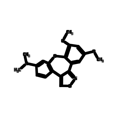 COc1cc(OC)c2c(c1)-c1nocc1-c1ccc(N(C)C)cc1O2